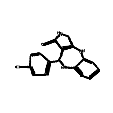 O=C1NCC2=C1C(c1ccc(Cl)cc1)Nc1ccccc1N2